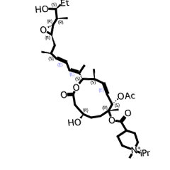 CC[C@H](O)[C@@H](C)[C@H]1O[C@@H]1C[C@H](C)/C=C/C=C(\C)[C@H]1OC(=O)C[C@H](O)CC[C@@](C)(OC(=O)C2CC[N+](C)(C(C)C)CC2)[C@@H](OC(C)=O)/C=C/[C@@H]1C